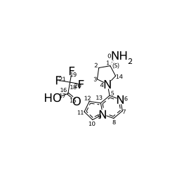 N[C@H]1CCN(c2nccn3cccc23)C1.O=C(O)C(F)(F)F